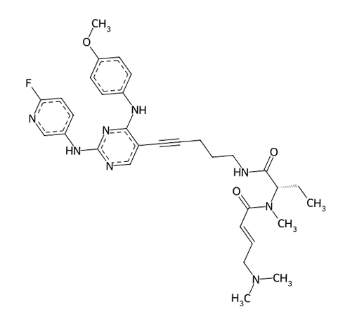 CC[C@@H](C(=O)NCCCC#Cc1cnc(Nc2ccc(F)nc2)nc1Nc1ccc(OC)cc1)N(C)C(=O)/C=C/CN(C)C